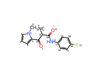 Cn1cccc1C(=O)C(C#N)C(=O)Nc1ccc(F)cc1